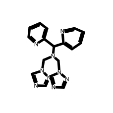 c1ccc(C(c2ccccn2)N(Cn2cncn2)Cn2cncn2)nc1